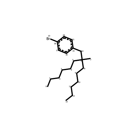 CCCCCCC(C)(CCCCCC)Cc1ccc(Br)cc1